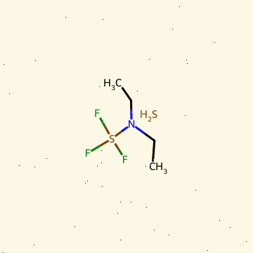 CCN(CC)S(F)(F)F.S